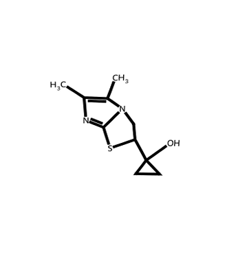 Cc1nc2n(c1C)CC(C1(O)CC1)S2